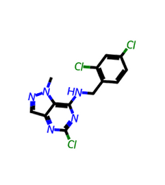 Cn1ncc2nc(Cl)nc(NCc3ccc(Cl)cc3Cl)c21